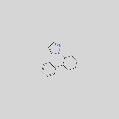 c1ccc([C]2CCCCC2n2cccn2)cc1